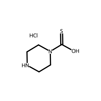 Cl.OC(=S)N1CCNCC1